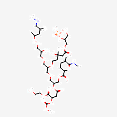 CCCOC(=O)OC(CC(=O)OC(COCC(COCC(O)COOC(C)CC(CC)CNC(C)C)OCCC(O)(CC(=O)OCC(CO)OP(=O)(O)O)C(=O)O)COC(=O)C(C)CCC(C)C(=O)NC(C)C)C(=O)OCCO